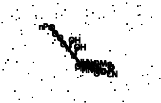 CCCOCCOCCOCCOCCN(CCCO)CCCN(CCCO)CCCNC(=O)c1ncn(-c2ncc(OC)c3c(C(=O)C(=O)N4CCC(=C(C#N)c5ccccc5)CC4)c[nH]c23)n1